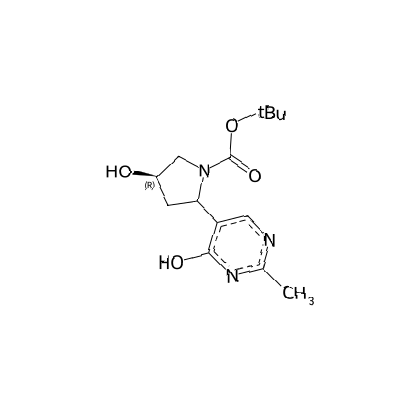 Cc1ncc(C2C[C@@H](O)CN2C(=O)OC(C)(C)C)c(O)n1